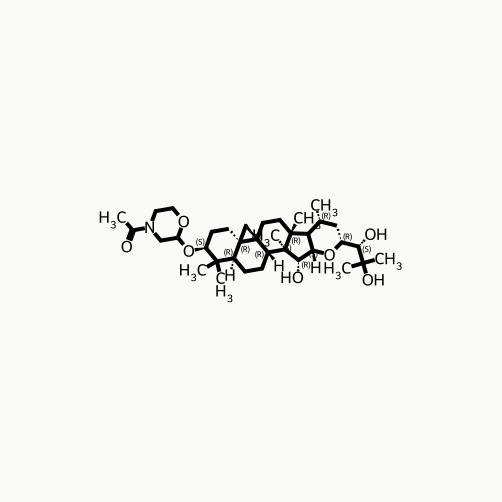 CC(=O)N1CCOC(O[C@H]2CC[C@]34C[C@]35CC[C@]3(C)C6[C@H](C)C[C@H]([C@H](O)C(C)(C)O)O[C@@H]6[C@H](O)[C@@]3(C)[C@@H]5CC[C@H]4C2(C)C)C1